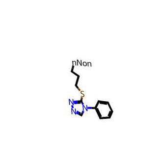 CCCCCCCCCCCCSc1nncn1-c1ccccc1